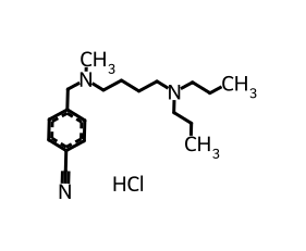 CCCN(CCC)CCCCN(C)Cc1ccc(C#N)cc1.Cl